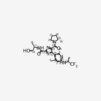 Cc1cc(N[C@@H](C)C(F)(F)F)ncc1-c1sc(C(=O)N[C@H](C)CO)nc1C(=O)N1CCC[C@@H]1C